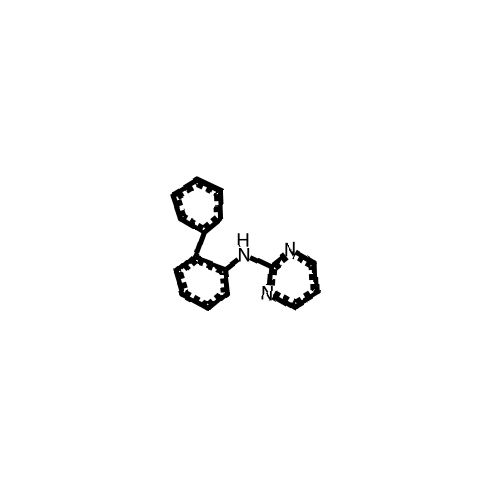 c1ccc(-c2ccccc2Nc2ncccn2)cc1